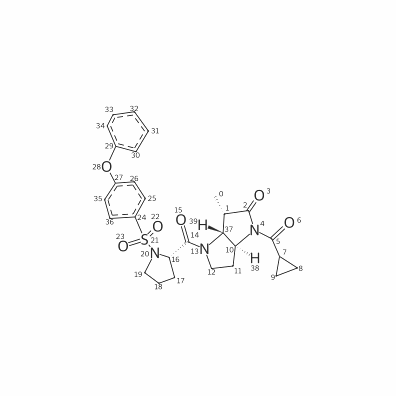 C[C@@H]1C(=O)N(C(=O)C2CC2)[C@H]2CCN(C(=O)[C@@H]3CCCN3S(=O)(=O)c3ccc(Oc4ccccc4)cc3)[C@H]12